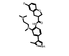 Cc1n[nH]cc1-c1ccc(NC(=O)C2COc3ccc(F)cc3C2)c(N(C)CCN(C)C)c1